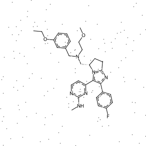 CCOc1cccc(CN(CCOC)C[C@@H]2CCc3nc(-c4ccc(F)cc4)c(-c4ccnc(NC)n4)n32)c1